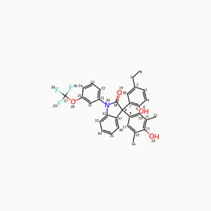 CCc1ccc(O)c(C2(c3cc(C)c(O)c(C)c3)C(=O)N(c3cccc(OC(F)(F)F)c3)c3ccccc32)c1